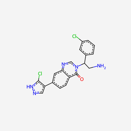 NCC(c1cccc(Cl)c1)n1cnc2cc(-c3cn[nH]c3Cl)ccc2c1=O